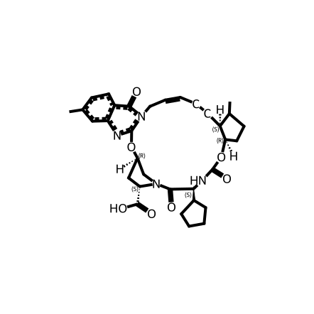 Cc1ccc2c(=O)n3c(nc2c1)O[C@@H]1C[C@@H](C(=O)O)N(C1)C(=O)[C@H](C1CCCC1)NC(=O)O[C@@H]1CCC(C)[C@@H]1CCC=CC3